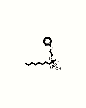 CCCCCCCCC(C)(OCCOc1ccccc1)S(=O)(=O)O